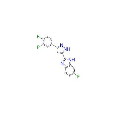 Cc1cc2nc(-c3cc(-c4ccc(F)c(F)c4)n[nH]3)[nH]c2cc1F